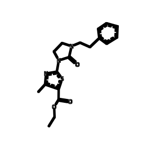 CCOC(=O)c1sc(N2CCN(CCc3ccccc3)C2=O)nc1C